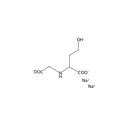 O=C([O-])CNC(CCO)C(=O)[O-].[Na+].[Na+]